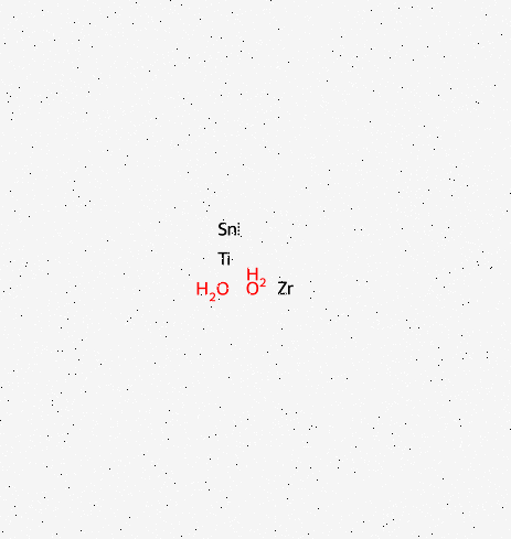 O.O.[Sn].[Ti].[Zr]